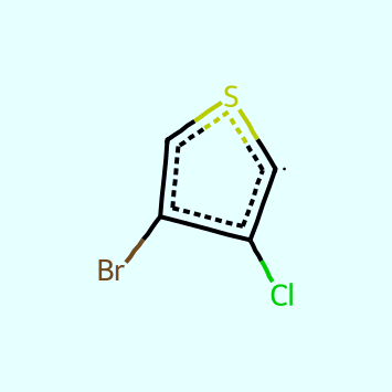 Clc1[c]scc1Br